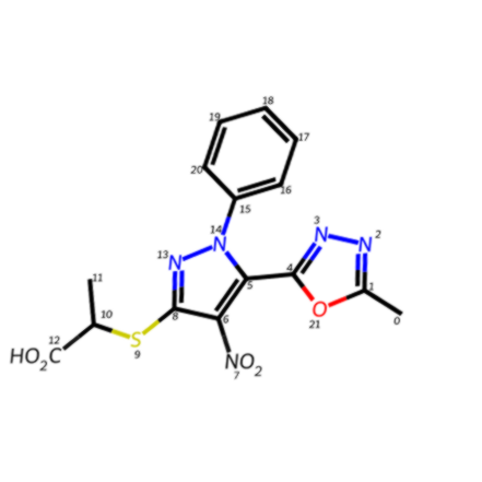 Cc1nnc(-c2c([N+](=O)[O-])c(SC(C)C(=O)O)nn2-c2ccccc2)o1